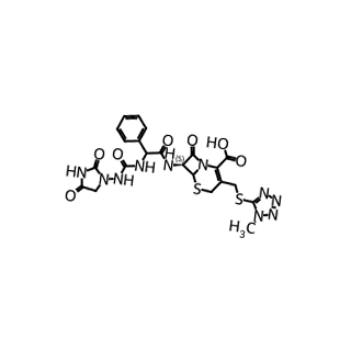 Cn1nnnc1SCC1=C(C(=O)O)N2C(=O)[C@H](NC(=O)C(NC(=O)NN3CC(=O)NC3=O)c3ccccc3)C2SC1